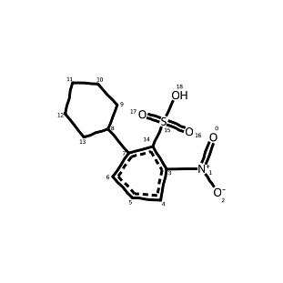 O=[N+]([O-])c1cccc(C2CCCCC2)c1S(=O)(=O)O